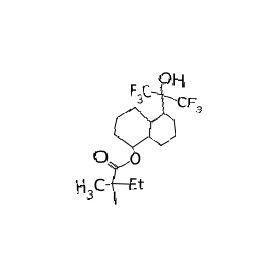 CCC(C)(I)C(=O)OC1CCCC2C1CCCC2C(O)(C(F)(F)F)C(F)(F)F